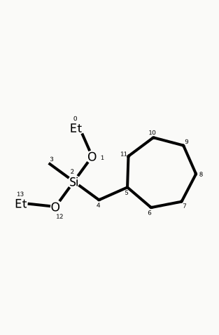 CCO[Si](C)(CC1CCCCCC1)OCC